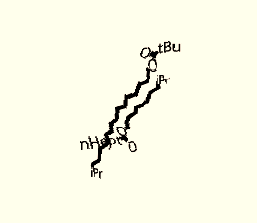 CC(C)CCCCCCCCCCCCCCCOC(=O)C(C)(C)C.CCCCCCCC(=O)OCCCCCCCC(C)C